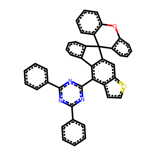 c1ccc(-c2nc(-c3ccccc3)nc(-c3c4c(cc5sccc35)C3(c5ccccc5Oc5ccccc53)c3ccccc3-4)n2)cc1